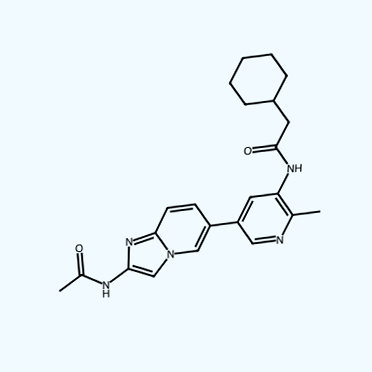 CC(=O)Nc1cn2cc(-c3cnc(C)c(NC(=O)CC4CCCCC4)c3)ccc2n1